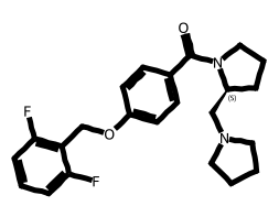 O=C(c1ccc(OCc2c(F)cccc2F)cc1)N1CCC[C@H]1CN1CCCC1